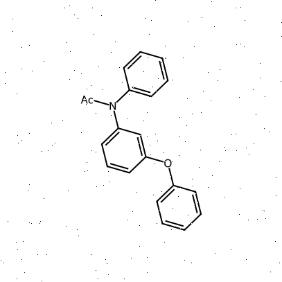 CC(=O)N(c1cc[c]cc1)c1cccc(Oc2ccccc2)c1